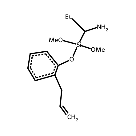 C=CCc1ccccc1O[Si](OC)(OC)C(N)CC